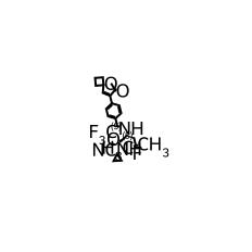 CC(C)(F)C[C@H](N[C@@H](c1ccc(C2=CC3(CCC3)OC2=O)cc1)C(F)(F)F)C(=O)NC1(C#N)CC1